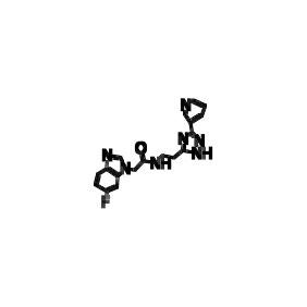 O=C(Cn1cnc2ccc(F)cc21)NCCc1nc(-c2cccnc2)n[nH]1